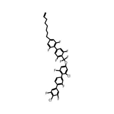 C=CCCCCCCc1cc(F)c(-c2cc(F)c(C(F)(F)Oc3cc(F)c(-c4ccc(-c5cc(F)c(Cl)c(F)c5)c(F)c4)c(Cl)c3)c(F)c2)c(F)c1